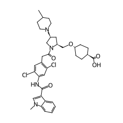 CC1CCN([C@H]2C[C@@H](CO[C@H]3CC[C@H](C(=O)O)CC3)N(C(=O)Cc3cc(Cl)c(NC(=O)c4cn(C)c5ccccc45)cc3Cl)C2)CC1